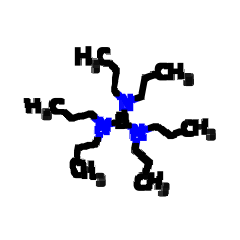 CCCN(CCC)B(N(CCC)CCC)N(CCC)CCC